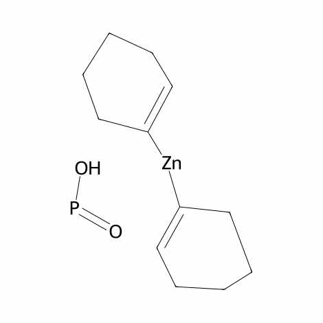 C1=[C]([Zn][C]2=CCCCC2)CCCC1.O=PO